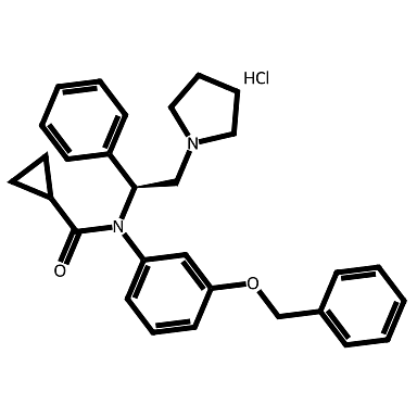 Cl.O=C(C1CC1)N(c1cccc(OCc2ccccc2)c1)[C@H](CN1CCCC1)c1ccccc1